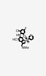 CNCc1cn(S(=O)(=O)c2cccnc2)c2cc(Nc3c(Cl)cc(F)cc3Cl)ccc12.Cl